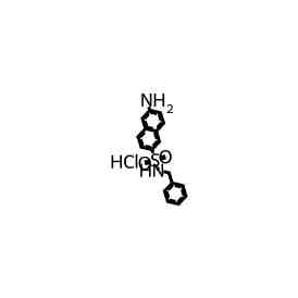 Cl.Nc1ccc2cc(S(=O)(=O)NCc3ccccc3)ccc2c1